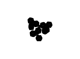 c1ccc(-n2c3ccccc3c3cc(N(c4ccc5c(c4)C4(CC6CCC4C6)c4ccccc4-5)c4ccc5c(c4)C4(c6ccccc6-5)C5CCC6CC(C5)CC4C6)ccc32)cc1